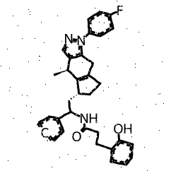 C[C@@H]1C2=C(CC[C@@H]2CC(NC(=O)CCc2ccccc2O)c2ccccc2)Cc2c1cnn2-c1ccc(F)cc1